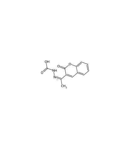 C/C(=N/NC(=O)O)c1cc2ccccc2oc1=O